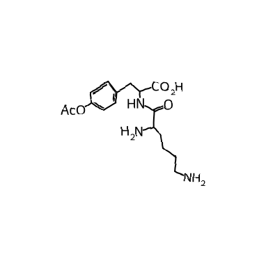 CC(=O)Oc1ccc(CC(NC(=O)C(N)CCCCN)C(=O)O)cc1